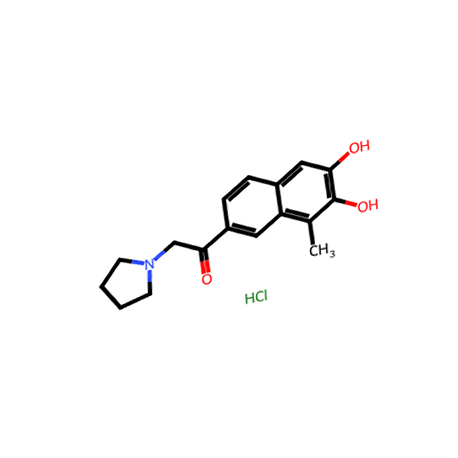 Cc1c(O)c(O)cc2ccc(C(=O)CN3CCCC3)cc12.Cl